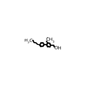 CCCCCc1ccc(-c2ccc(CCO)cc2CC)cc1